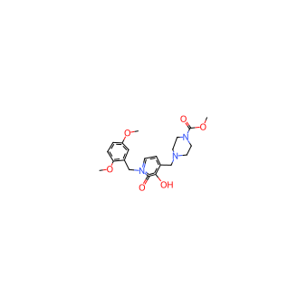 COC(=O)N1CCN(Cc2ccn(Cc3cc(OC)ccc3OC)c(=O)c2O)CC1